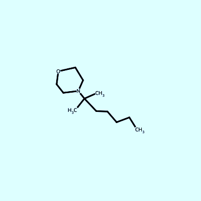 CCCCCC(C)(C)N1CCOCC1